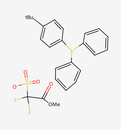 CC(C)(C)c1ccc([S+](c2ccccc2)c2ccccc2)cc1.COC(=O)C(F)(F)S(=O)(=O)[O-]